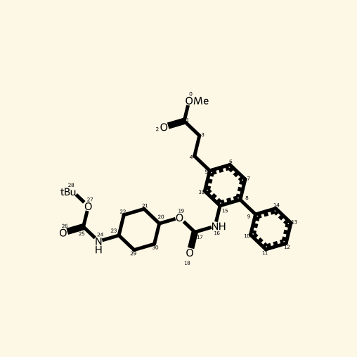 COC(=O)CCc1ccc(-c2ccccc2)c(NC(=O)OC2CCC(NC(=O)OC(C)(C)C)CC2)c1